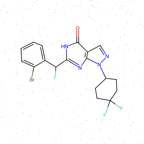 O=c1[nH]c(C(F)c2ccccc2Br)nc2c1cnn2C1CCC(F)(F)CC1